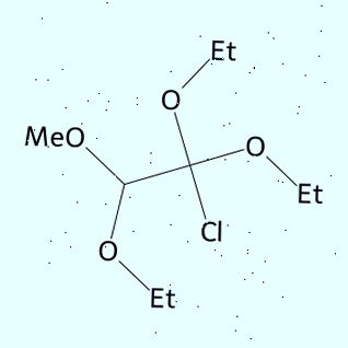 CCOC(OC)C(Cl)(OCC)OCC